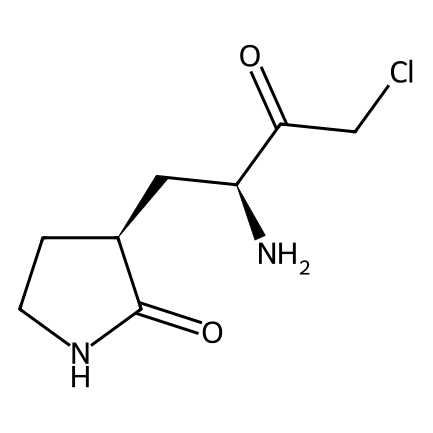 N[C@@H](C[C@@H]1CCNC1=O)C(=O)CCl